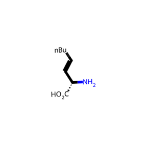 CCCCC=C[C@H](N)C(=O)O